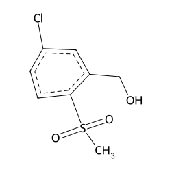 CS(=O)(=O)c1ccc(Cl)cc1CO